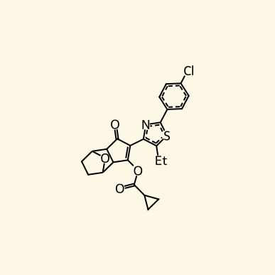 CCc1sc(-c2ccc(Cl)cc2)nc1C1=C(OC(=O)C2CC2)C2C3CCC(O3)C2C1=O